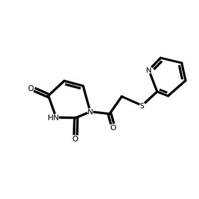 O=C(CSc1ccccn1)n1ccc(=O)[nH]c1=O